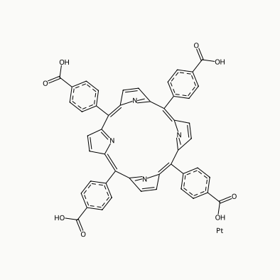 O=C(O)c1ccc(C2=C3C=CC(=N3)C(c3ccc(C(=O)O)cc3)=C3C=CC(=N3)C(c3ccc(C(=O)O)cc3)=C3C=CC(=N3)C(c3ccc(C(=O)O)cc3)=C3C=CC2=N3)cc1.[Pt]